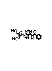 O=C(Nc1ncnc2c1ncn2[C@@H]1O[C@H](CO)[C@@H]1CO)c1ccccc1